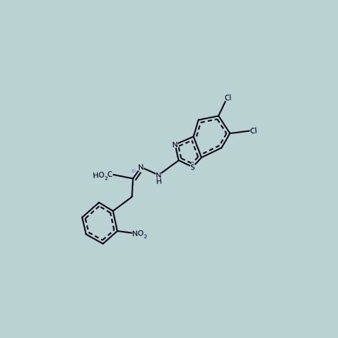 O=C(O)/C(Cc1ccccc1[N+](=O)[O-])=N/Nc1nc2cc(Cl)c(Cl)cc2s1